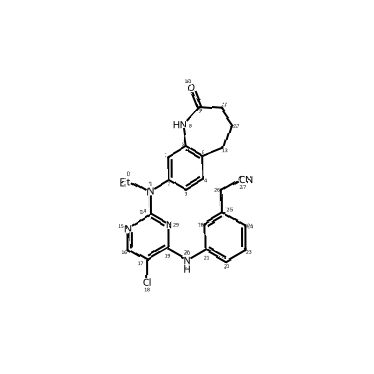 CCN(c1ccc2c(c1)NC(=O)CCC2)c1ncc(Cl)c(Nc2cccc(CC#N)c2)n1